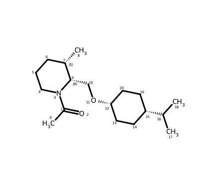 CC(=O)N1CCC[C@H](C)[C@@H]1CO[C@H]1CC[C@@H](C(C)C)CC1